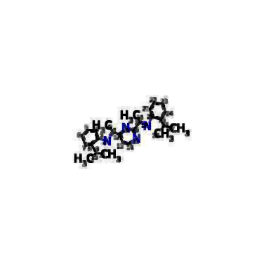 C/C(=N\c1ccccc1C(C)C)c1ccnc(/C(C)=N/c2ccccc2C(C)C)n1